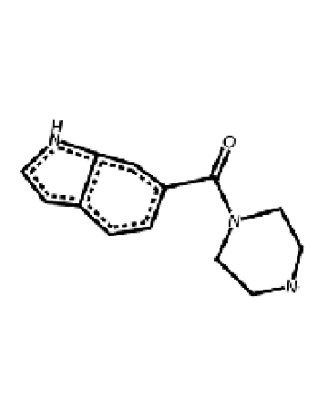 O=C(c1ccc2cc[nH]c2c1)N1CC[N]CC1